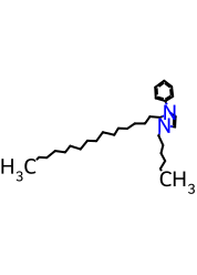 CCCCCCCCCCCCCCCCC1N(CCCCCC)C=CN1c1ccccc1